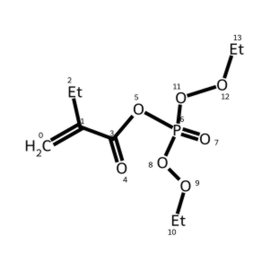 C=C(CC)C(=O)OP(=O)(OOCC)OOCC